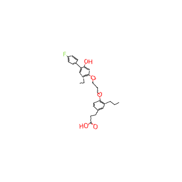 CCCc1cc(CCC(=O)O)ccc1OCCCOc1cc(O)c(-c2ccc(F)cc2)cc1CC